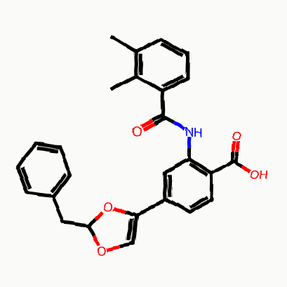 Cc1cccc(C(=O)Nc2cc(C3=COC(Cc4ccccc4)O3)ccc2C(=O)O)c1C